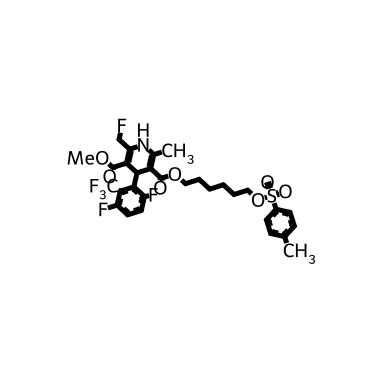 COC(=O)C1=C(CF)NC(C)=C(C(=O)OCCCCCCOS(=O)(=O)c2ccc(C)cc2)C1c1c(F)ccc(F)c1C(F)(F)F